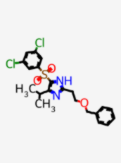 CC(C)c1nc(CCOCc2ccccc2)[nH]c1S(=O)(=O)c1cc(Cl)cc(Cl)c1